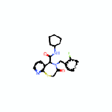 O=C(NC1CCCCC1)C1c2cccnc2SCC(=O)N1Cc1ccccc1F